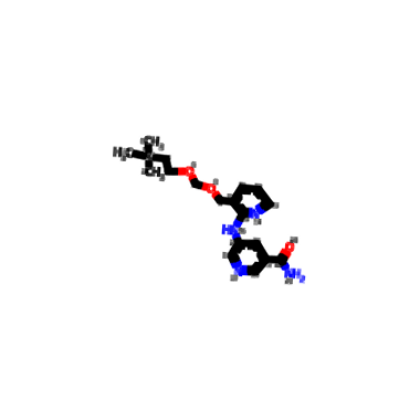 C[Si](C)(C)CCOCOCc1cccnc1Nc1cncc(C(N)=O)c1